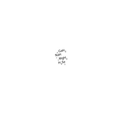 [GaH3].[MgH2].[NaH].[SeH2]